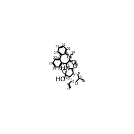 C=CC[C@H](C(=O)O)[C@@H](CC(C)C)C(=O)NC1C(=O)N(C)c2ccccc2-c2ccccc21